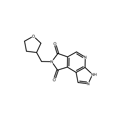 O=C1c2cnc3[nH]ncc3c2C(=O)N1CC1CCOC1